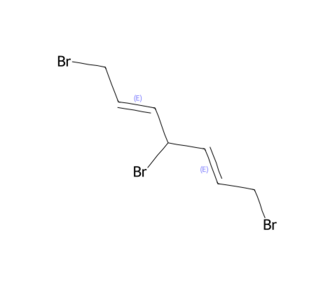 BrC/C=C/C(Br)/C=C/CBr